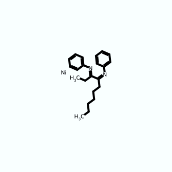 CCCCCCC(=Nc1ccccc1)C(CC)=Nc1ccccc1.[Ni]